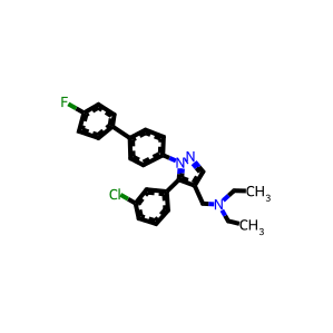 CCN(CC)Cc1cnn(-c2ccc(-c3ccc(F)cc3)cc2)c1-c1cccc(Cl)c1